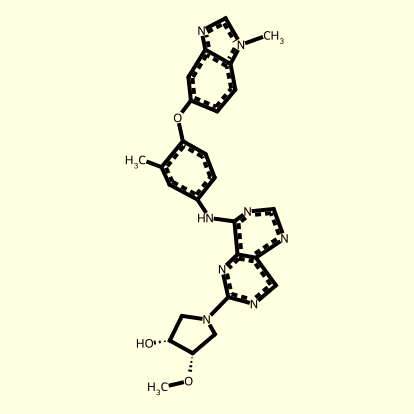 CO[C@H]1CN(c2ncc3ncnc(Nc4ccc(Oc5ccc6c(c5)ncn6C)c(C)c4)c3n2)C[C@H]1O